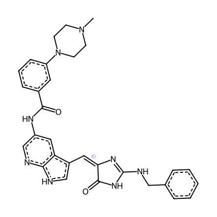 CN1CCN(c2cccc(C(=O)Nc3cnc4[nH]cc(/C=C5/N=C(NCc6ccccc6)NC5=O)c4c3)c2)CC1